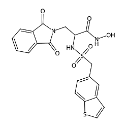 O=C(NO)C(CN1C(=O)c2ccccc2C1=O)NS(=O)(=O)Cc1ccc2sccc2c1